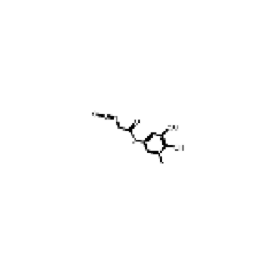 Cc1cc(OC(=O)CN=C=O)cc(C(C)(C)C)c1O